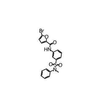 CN(c1ccccc1)S(=O)(=O)c1cccc(NC(=O)c2ccc(Br)o2)c1